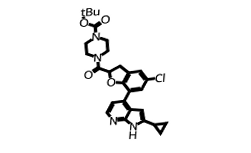 CC(C)(C)OC(=O)N1CCN(C(=O)C2Cc3cc(Cl)cc(-c4ccnc5[nH]c(C6CC6)cc45)c3O2)CC1